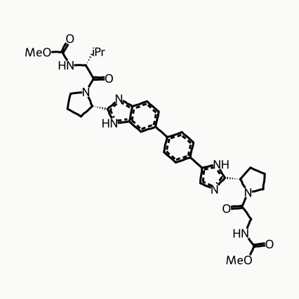 COC(=O)NCC(=O)N1CCC[C@H]1c1ncc(-c2ccc(-c3ccc4nc([C@@H]5CCCN5C(=O)[C@H](NC(=O)OC)C(C)C)[nH]c4c3)cc2)[nH]1